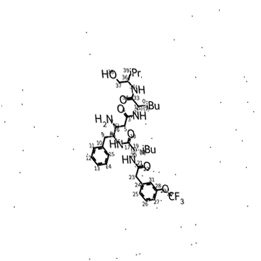 CC[C@H](C)[C@H](NC(=O)C[C@H](N)[C@H](Cc1ccccc1)NC(=O)[C@@H](NC(=O)Cc1cccc(OC(F)(F)F)c1)[C@@H](C)CC)C(=O)NC(CO)C(C)C